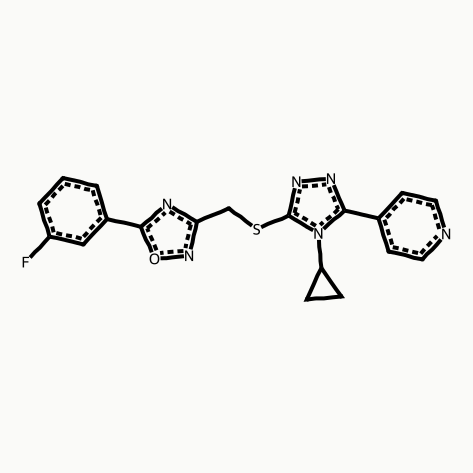 Fc1cccc(-c2nc(CSc3nnc(-c4ccncc4)n3C3CC3)no2)c1